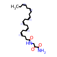 CC/C=C\C/C=C\C/C=C\C/C=C\C/C=C\C/C=C\CCC(=O)NCC(=O)C(N)=O